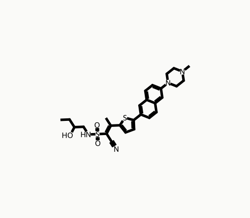 CCC(O)CNS(=O)(=O)/C(C#N)=C(\C)c1ccc(-c2ccc3cc(N4CCN(C)CC4)ccc3c2)s1